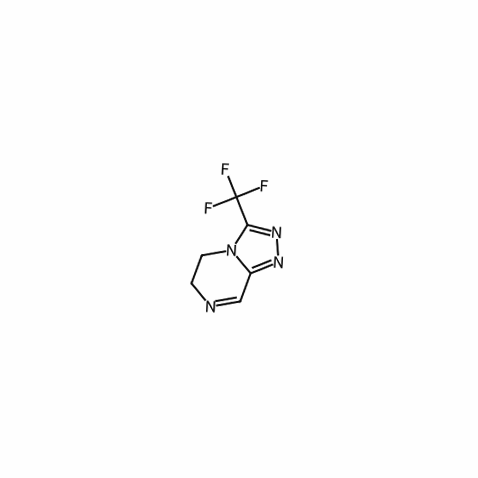 FC(F)(F)c1nnc2n1CCN=C2